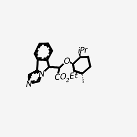 CCOC(=O)C(O[C@@H]1C[C@@H](C)CC[C@@H]1C(C)C)C1c2ccccc2-c2cncn21